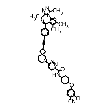 Cc1sc2c(c1C)C(c1ccc(C#CC3CC4(CCCN(c5ccc(C(=O)N[C@H]6CC[C@H](Oc7ccc(C#N)c(Cl)c7)CC6)nn5)C4)C3)cc1)=N[C@@H](C)c1nnc(C)n1-2